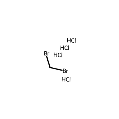 BrCBr.Cl.Cl.Cl.Cl